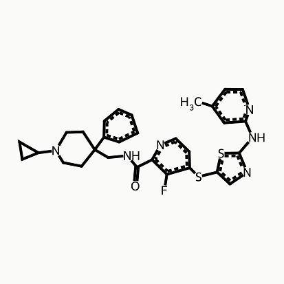 Cc1ccnc(Nc2ncc(Sc3ccnc(C(=O)NCC4(c5ccccc5)CCN(C5CC5)CC4)c3F)s2)c1